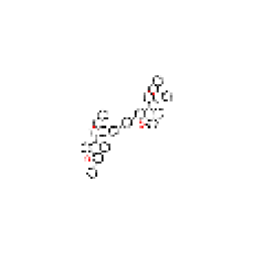 c1ccc(-c2cccc3c2oc2cccc(-c4c5ccccc5c(-c5ccc(-c6ccc(-c7ccc(-c8c9ccccc9c(-c9ccccc9-c9cccc%10ccccc9%10)c9ccccc89)c8c7oc7ccccc78)cc6)cc5-c5cccc6ccccc56)c5ccccc45)c23)cc1